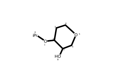 CC(C)OC1CCOCC1O